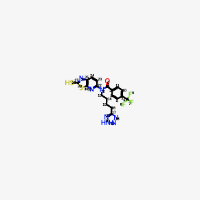 O=C(c1ccc(C(F)(F)F)cc1)N(CCCCc1nn[nH]n1)c1ccc2nc(S)sc2n1